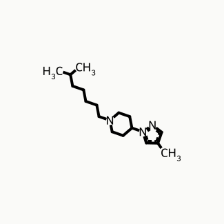 Cc1cnn(C2CCN(CCCCCC(C)C)CC2)c1